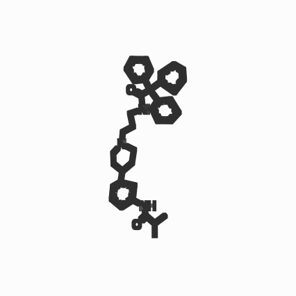 CC(C)C(=O)Nc1cccc(C2CCN(CCCNC(=O)C(c3ccccc3)(c3ccccc3)c3ccccc3)CC2)c1